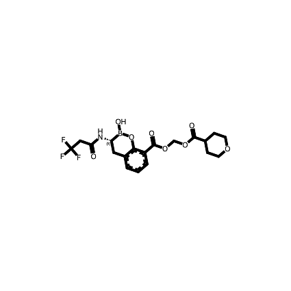 O=C(CC(F)(F)F)N[C@H]1Cc2cccc(C(=O)OCOC(=O)C3CCOCC3)c2OB1O